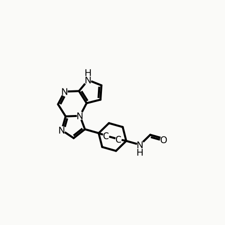 O=CNC12CCC(c3cnc4cnc5[nH]ccc5n34)(CC1)CC2